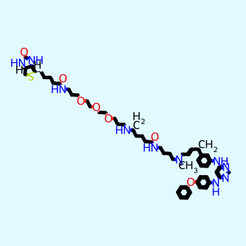 C=C(CCCC(=O)NCCCCN(C)C/C=C/C(=C)c1cccc(Nc2cc(Nc3ccc(Oc4ccccc4)cc3)ncn2)c1)NCCCOCCOCCOCCCNC(=O)CCCC[C@@H]1SC[C@@H]2NC(=O)N[C@@H]21